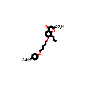 C=CCc1c(OCCCCCOc2ccc(NC(C)=O)cc2)ccc2c(=O)cc(C(=O)O)oc12